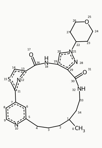 CC1CCCc2cc(ccn2)-c2nc(cs2)C(=O)Nc2cn(C3CCOCC3)nc2C(=O)NCC1